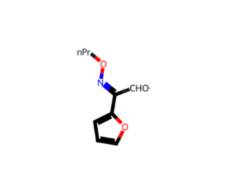 CCCON=C([C]=O)c1ccco1